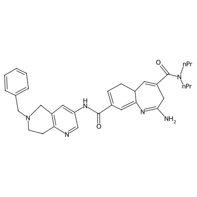 CCCN(CCC)C(=O)C1=CC2CC=C(C(=O)Nc3cnc4c(c3)CN(Cc3ccccc3)CC4)C=C2N=C(N)C1